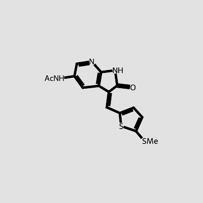 CSc1ccc(C=C2C(=O)Nc3ncc(NC(C)=O)cc32)s1